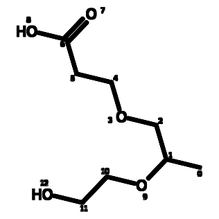 CC(COCCC(=O)O)OCCO